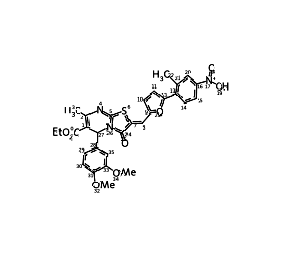 CCOC(=O)C1=C(C)N=c2s/c(=C\c3ccc(-c4ccc([N+](=O)O)cc4C)o3)c(=O)n2C1c1ccc(OC)c(OC)c1